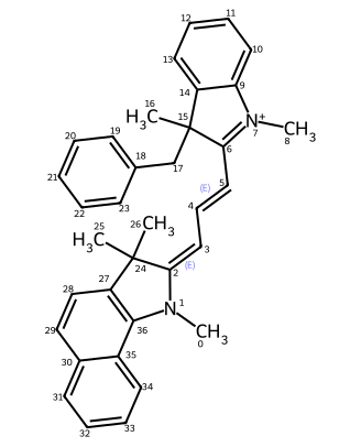 CN1/C(=C/C=C/C2=[N+](C)c3ccccc3C2(C)Cc2ccccc2)C(C)(C)c2ccc3ccccc3c21